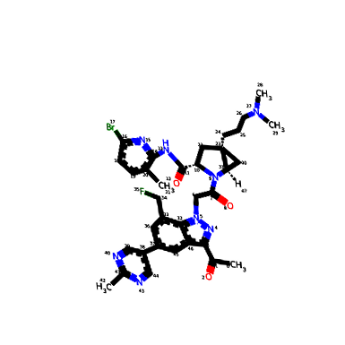 CC(=O)c1nn(CC(=O)N2[C@H](C(=O)Nc3nc(Br)ccc3C)C[C@@]3(CCCN(C)C)C[C@@H]23)c2c(CF)cc(-c3cnc(C)nc3)cc12